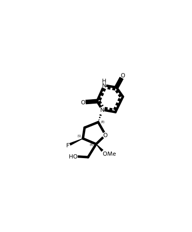 CO[C@]1(CO)O[C@@H](n2ccc(=O)[nH]c2=O)C[C@@H]1F